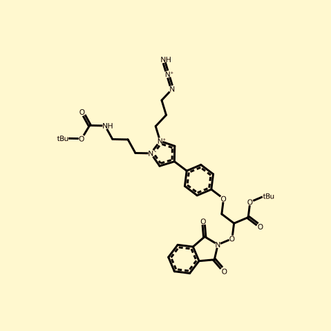 CC(C)(C)OC(=O)NCCCn1cc(-c2ccc(OCC(ON3C(=O)c4ccccc4C3=O)C(=O)OC(C)(C)C)cc2)c[n+]1CCCN=[N+]=N